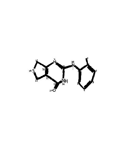 Cc1ccccc1Nc1nc2c(c(=O)[nH]1)CSC2